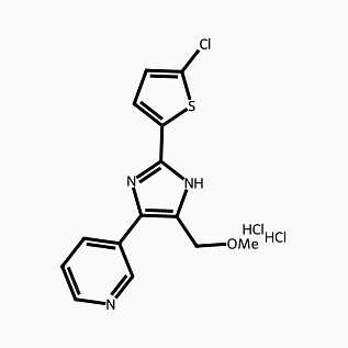 COCc1[nH]c(-c2ccc(Cl)s2)nc1-c1cccnc1.Cl.Cl